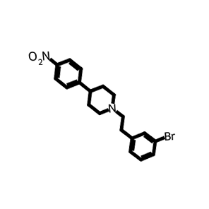 O=[N+]([O-])c1ccc(C2CCN(CCc3cccc(Br)c3)CC2)cc1